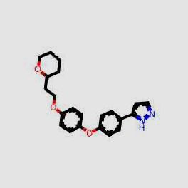 c1cc(-c2ccc(Oc3ccc(OCCC4CCCCO4)cc3)cc2)[nH]n1